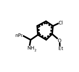 CCCC(N)c1ccc(Cl)c(OCC)c1